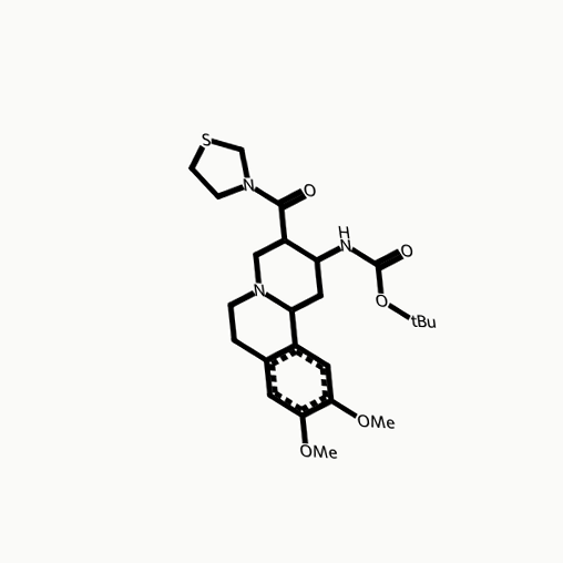 COc1cc2c(cc1OC)C1CC(NC(=O)OC(C)(C)C)C(C(=O)N3CCSC3)CN1CC2